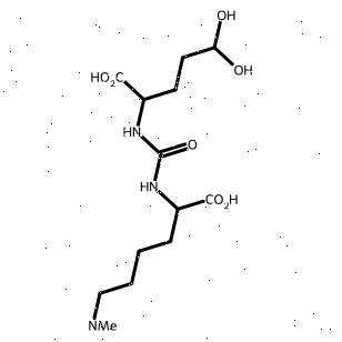 CNCCCCC(NC(=O)NC(CCC(O)O)C(=O)O)C(=O)O